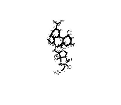 CCS(=O)(=O)N[C@@H]1CN2C(=O)N(c3noc4cc(C(F)F)cc(-c5c(F)cc(F)cc5F)c34)C[C@@H]2C1(F)F